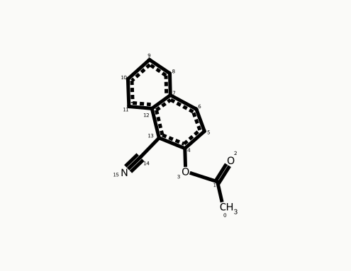 CC(=O)Oc1ccc2ccccc2c1C#N